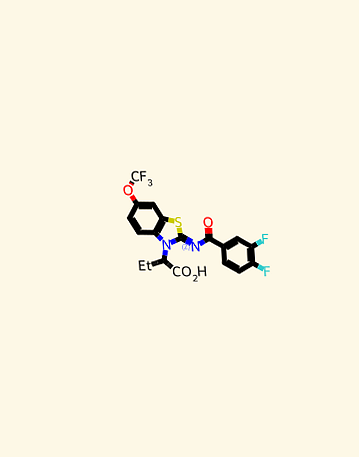 CCC(C(=O)O)n1/c(=N/C(=O)c2ccc(F)c(F)c2)sc2cc(OC(F)(F)F)ccc21